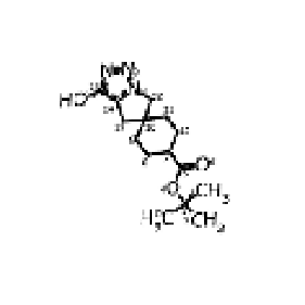 CC(C)(C)OC(=O)C1CCC2(CC1)Cc1c(O)nnn1C2